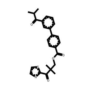 CC(C)C(=O)c1cccc(-c2ccc(C(=O)OCC(C)(C)C(=O)c3nccs3)cc2)c1